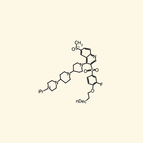 CCCCCCCCCCCCOc1ccc(S(=O)(=O)c2cnc3ccc([S+](C)[O-])cc3c2N2CCC(N3CCC(N4CCN(C(C)C)CC4)CC3)CC2)cc1F